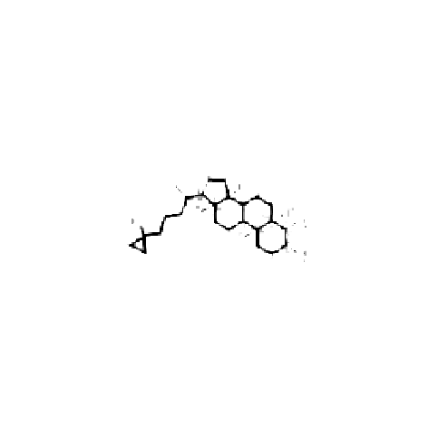 C[C@H](CCCC1(O)CC1)[C@H]1CC[C@H]2C3CC[C@H]4[C@@H](O)[C@@H](O)CC[C@]4(C)C3CC[C@]12C